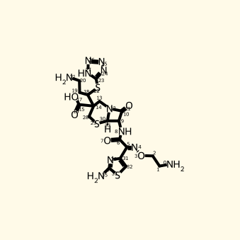 NCCON=C(C(=O)NC1C(=O)N2CC(C(=O)O)(C(CCN)Sc3nnn[nH]3)CS[C@H]12)c1csc(N)n1